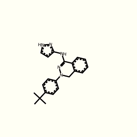 CC(C)(C)c1ccc(N2Cc3ccccc3C(Nc3cc[nH]n3)=N2)cc1